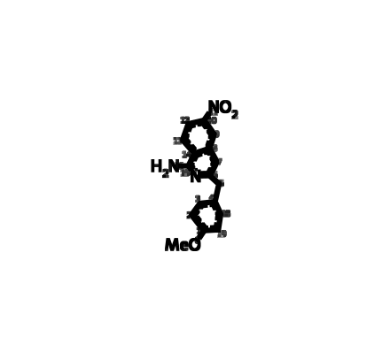 COc1ccc(Cc2cc3cc([N+](=O)[O-])ccc3c(N)n2)cc1